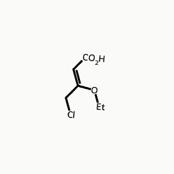 CCO/C(=C\C(=O)O)CCl